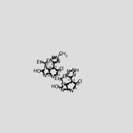 CCC(CC)n1c(O)nc2ncc(Cl)c(-c3nn[nH]n3)c21.CCC(CC)n1c(O)nc2ncc(Cl)c(-c3nnn(C)n3)c21